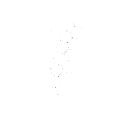 CC(Br)C(=O)Nc1ccc2c(c1O)C(=O)C1=C(O)C3(O)C(=O)C(C(N)=O)=C(O)[C@@H](N(C)C)C3CC1C2.Cl.Cl